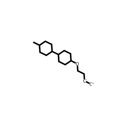 [CH2+][CH-]CCOC1CCC(C2CCC(C)CC2)CC1